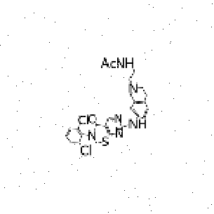 CC(=O)NCCN1CCc2ccc(Nc3ncc4c(n3)SCN(c3c(Cl)cccc3Cl)C4=O)cc2C1